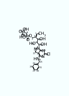 C/C=C(/COP(=O)(O)CP(=O)(O)O)[C@@H](O)[C@@H](O)[C@@H](O)n1ncc2c(NCc3ccccc3)nc(Cl)nc21